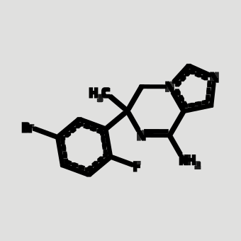 CC1(c2cc(Br)ccc2F)Cn2cncc2C(N)=N1